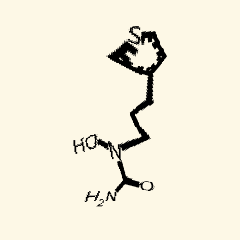 NC(=O)N(O)CCCc1ccsc1